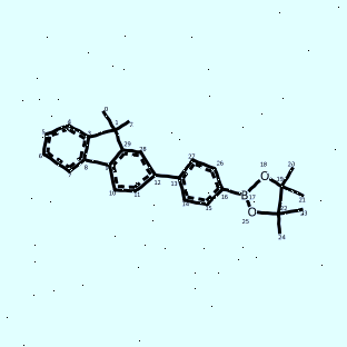 CC1(C)c2ccccc2-c2ccc(-c3ccc(B4OC(C)(C)C(C)(C)O4)cc3)cc21